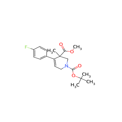 COC(=O)C1(C)CN(C(=O)OC(C)(C)C)CC=C1c1ccc(F)cc1